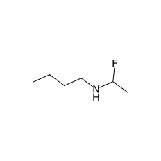 CCCCNC(C)F